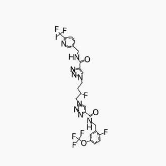 O=C(NCc1ccc(C(F)(F)I)nc1)c1cn(CCC(F)Cn2cc(C(=O)NCc3cc(OC(F)(F)F)ccc3F)nn2)nn1